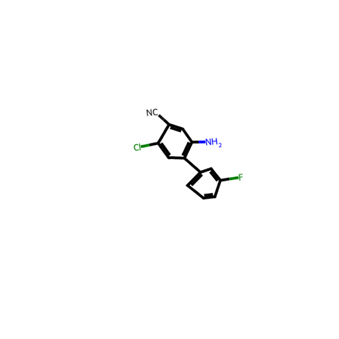 N#Cc1cc(N)c(-c2cccc(F)c2)cc1Cl